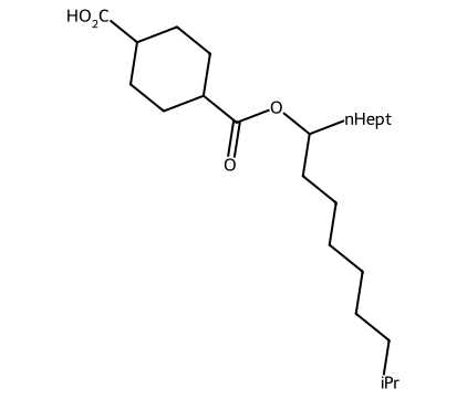 CCCCCCCC(CCCCCCC(C)C)OC(=O)C1CCC(C(=O)O)CC1